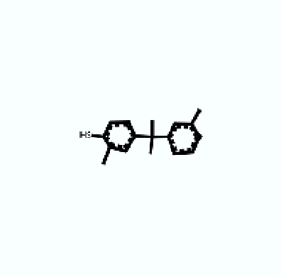 Cc1cccc(C(C)(C)c2ccc(S)c(C)c2)c1